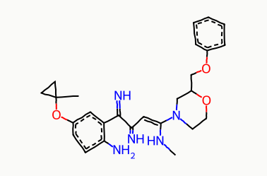 CN/C(=C\C(=N)C(=N)c1cc(OC2(C)CC2)ccc1N)N1CCOC(COc2ccccc2)C1